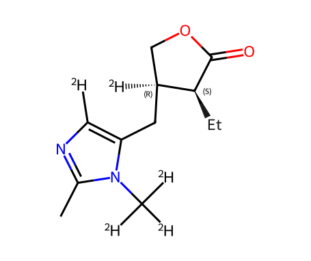 [2H]c1nc(C)n(C([2H])([2H])[2H])c1C[C@@]1([2H])COC(=O)[C@H]1CC